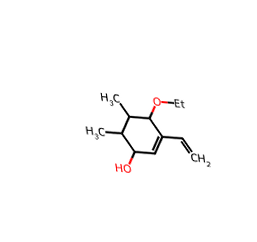 C=CC1=CC(O)C(C)C(C)C1OCC